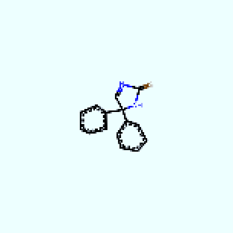 S=C1N=CC(c2ccccc2)(c2ccccc2)N1